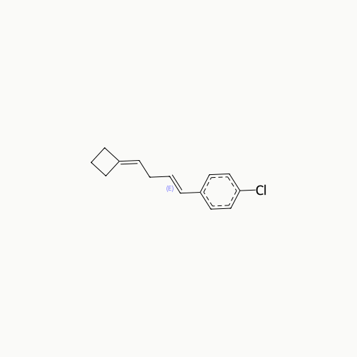 Clc1ccc(/C=C/CC=C2CCC2)cc1